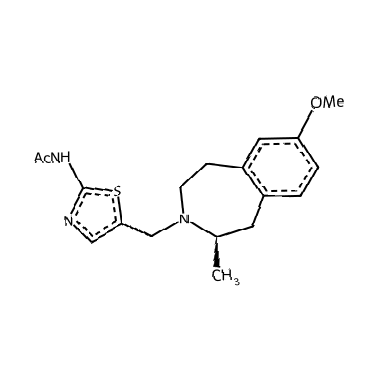 COc1ccc2c(c1)CCN(Cc1cnc(NC(C)=O)s1)[C@H](C)C2